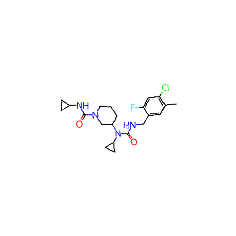 Cc1cc(CNC(=O)N(C2CC2)[C@@H]2CCCN(C(=O)NC3CC3)C2)c(F)cc1Cl